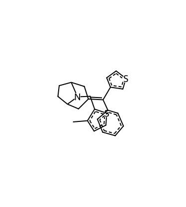 Cc1ccsc1CN1C2CCC1CC(=C(c1ccccc1)c1ccsc1)C2